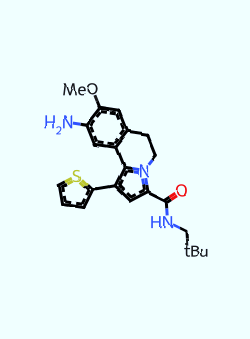 COc1cc2c(cc1N)-c1c(-c3cccs3)cc(C(=O)NCC(C)(C)C)n1CC2